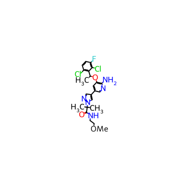 COCCNC(=O)C(C)(C)n1cc(-c2cnc(N)c(OC(C)c3c(Cl)ccc(F)c3Cl)c2)cn1